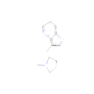 O=C(O)N1CCC[C@H]1Cc1c[nH]c2cccnc12